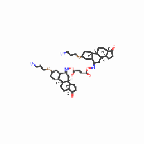 C[C@]12CCC(SCCCN)CC1C(=NOC(=O)/C=C/C(=O)O/N=C1/C[C@@H]3[C@@H](CC[C@]4(C)C(=O)CC[C@@H]34)[C@@]3(C)CCC(SCCCN)CC13)C[C@@H]1[C@H]2CC[C@]2(C)C(=O)CC[C@@H]12